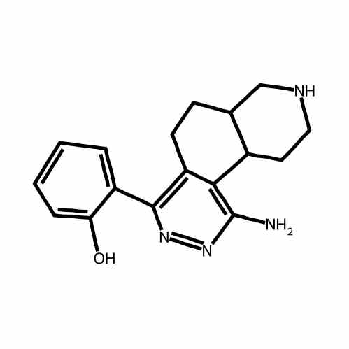 Nc1nnc(-c2ccccc2O)c2c1C1CCNCC1CC2